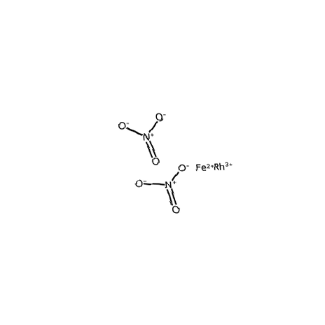 O=[N+]([O-])[O-].O=[N+]([O-])[O-].[Fe+2].[Rh+3]